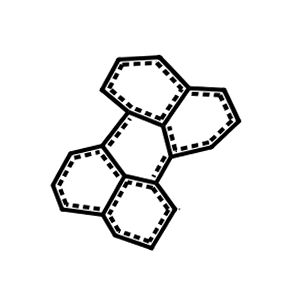 [c]1ccc2cccc3c4cccc5cccc(c1c23)c54